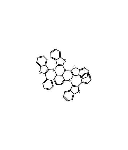 c1ccc(-c2sc3ccccc3c2N2c3cccc4c3B(c3sc5ccccc5c32)c2sc3ccccc3c2N4c2c(-c3ccccc3)sc3ccccc23)cc1